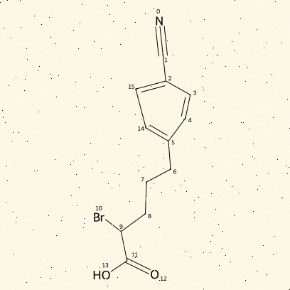 N#Cc1ccc(CCCC(Br)C(=O)O)cc1